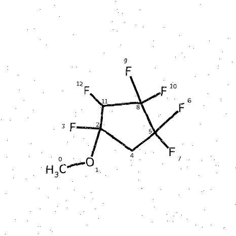 COC1(F)CC(F)(F)C(F)(F)C1F